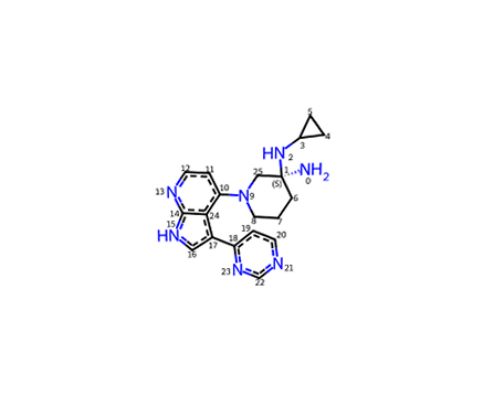 N[C@]1(NC2CC2)CCCN(c2ccnc3[nH]cc(-c4ccncn4)c23)C1